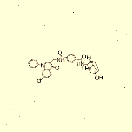 O=C(NCc1cn(-c2ccccc2)c2cc(Cl)ccc2c1=O)c1ccc(C(=O)NC2[C@@H]3CC4C[C@@H]2CC(O)(C4)C3)cc1